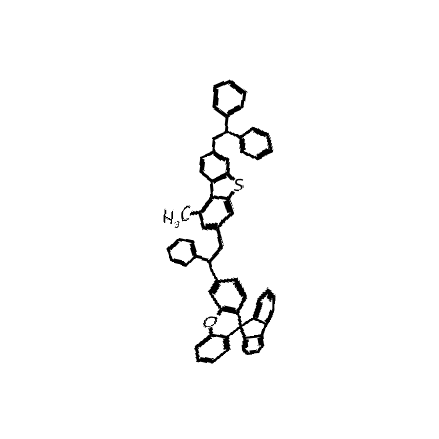 Cc1cc(CC(c2ccccc2)c2ccc3c(c2)Oc2ccccc2C32c3ccccc3-c3ccccc32)cc2sc3cc(CC(c4ccccc4)c4ccccc4)ccc3c12